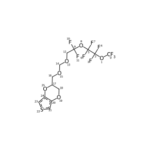 FC(F)(F)OC(F)(F)C(F)(F)OC(F)(F)COCOCC1COc2cscc2O1